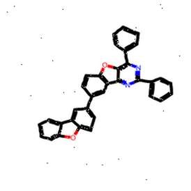 c1ccc(-c2nc(-c3ccccc3)c3oc4ccc(-c5ccc6oc7ccccc7c6c5)cc4c3n2)cc1